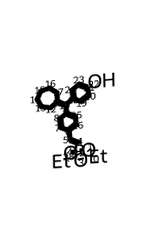 CCOP(=O)(/C=C/c1ccc(C(=C2CCCCCC2)c2ccc(O)cc2)cc1)OCC